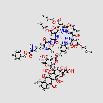 CCCCOC(=O)CC[C@H](NC(=O)[C@H](CC(=O)OCCCC)NC(=O)CNC(=O)[C@H](CCCCNC(=O)OCc1ccccc1)NC(C)=O)C(=O)N[C@H](C(=O)N[C@@H](CC(=O)OCCCC)C(=O)Nc1ccc(COC(=O)NC2C[C@H](O[C@@]3(C)C[C@](O)(C(=O)CO)Cc4c(O)c5c(c(O)c43)C(=O)c3c(OC)cccc3C5=O)O[C@@H](C)[C@H]2O)cc1)C(C)C